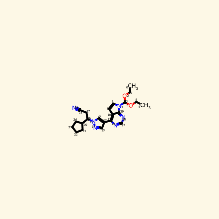 CCOC(OCC)n1ccc2c(-c3cnn(C(CC#N)C4CCCC4)c3)ncnc21